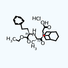 CCOC(=O)[C@@H](CCc1ccccc1)N[C@@H](C)C(=O)N(CC(=O)O)C1C2CCCC1CCC2.Cl